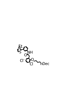 CCCCCCCCCCCCCCOc1c(Cl)cccc1CC(=O)Nc1cccc(-c2scc[n+]2CC)c1.[Cl-]